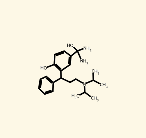 CC(C)N(CCC(c1ccccc1)c1cc(C(N)(N)O)ccc1O)C(C)C